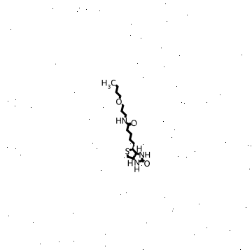 CCCCOCCCNC(=O)CCCC[C@@H]1SC[C@@H]2NC(=O)N[C@@H]21